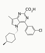 Cc1cn(C[C@H]2CC[C@H](C)CC2)c2c(-c3cccc(Cl)c3)nc(C(=O)O)nc12